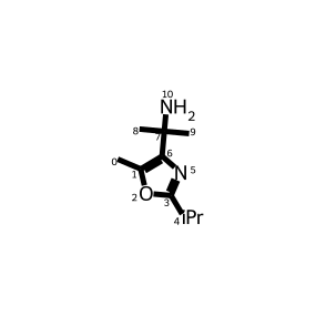 Cc1oc(C(C)C)nc1C(C)(C)N